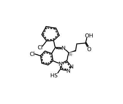 O=C(O)CC[C@@H]1N=C(c2ccccc2Cl)c2cc(Cl)ccc2-n2c(S)nnc21